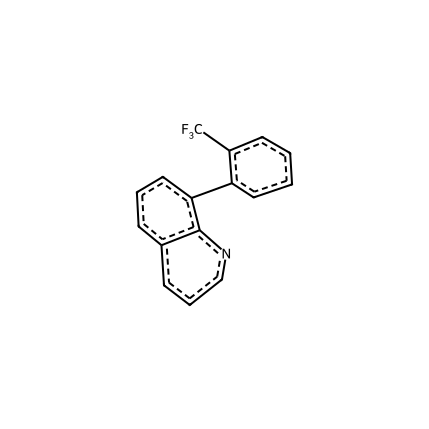 FC(F)(F)c1ccccc1-c1cccc2cccnc12